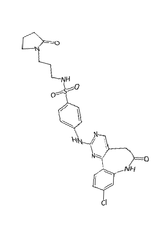 O=C1Cc2cnc(Nc3ccc(S(=O)(=O)NCCCN4CCCC4=O)cc3)nc2-c2ccc(Cl)cc2N1